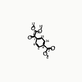 COC(=O)c1ccc(C(=O)C(OC)OC)cc1